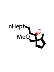 CCCCCCCCCC(=O)C1(COC)C=CC=C1C